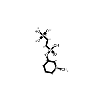 CN1CCCC(OP(=O)(O)CCS(=O)(=O)O)C1